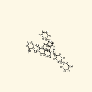 O=c1c(Oc2ccccc2F)cc2cnc(Nc3ccc(C4CCCNC4)cc3)nc2n1Cc1ncsc1-c1ccncc1